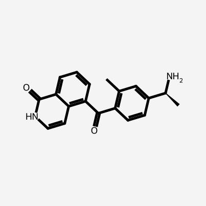 Cc1cc([C@H](C)N)ccc1C(=O)c1cccc2c(=O)[nH]ccc12